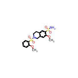 COc1cc2c(cc1S(N)(=O)=O)CCN(S(=O)(=O)c1ccccc1OC)C2